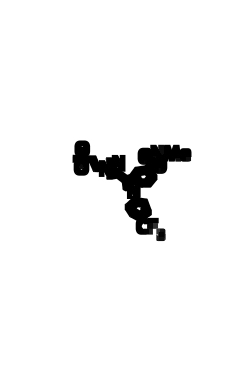 CNS(=O)(=O)c1ccc2c(c1)c(-c1cn(CCS(C)(=O)=O)cn1)cn2-c1ccc(C(F)(F)F)cc1